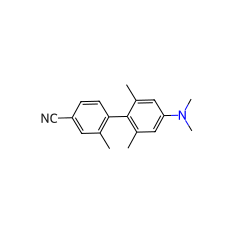 Cc1cc(C#N)ccc1-c1c(C)cc(N(C)C)cc1C